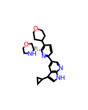 c1nc2[nH]cc(C3CC3)c2cc1-c1ccc(C2CCOCC2)c([C@H]2COCCN2)n1